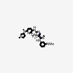 C=N/C(Nc1cccc(NC)c1)=C(\C=N/CNc1ccc(N(C)C2CCN(C)C2)nc1OC)C(F)(F)F